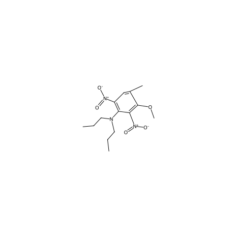 CCCN(CCC)c1c([N+](=O)[O-])cc(C)c(OC)c1[N+](=O)[O-]